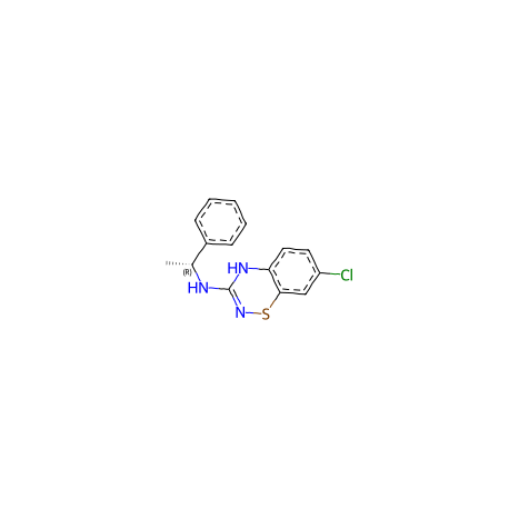 C[C@@H](NC1=NSc2cc(Cl)ccc2N1)c1ccccc1